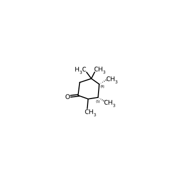 CC1C(=O)CC(C)(C)[C@H](C)[C@@H]1C